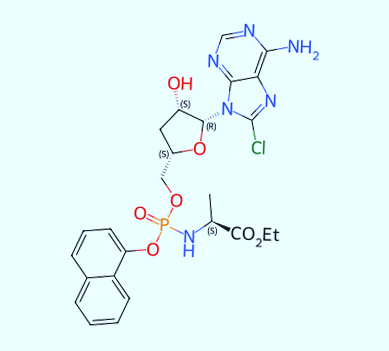 CCOC(=O)[C@H](C)NP(=O)(OC[C@@H]1C[C@H](O)[C@H](n2c(Cl)nc3c(N)ncnc32)O1)Oc1cccc2ccccc12